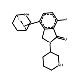 O=C1c2c(F)ccc(N3CC4CCC3CN4)c2CN1C1CCCNC1